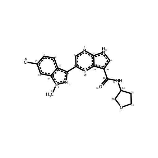 Cn1nc(-c2cnc3[nH]cc(C(=O)NC4CCOC4)c3n2)c2ccc(Cl)cc21